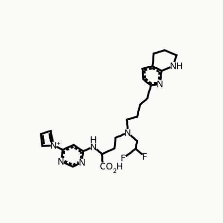 O=C(O)C(CCN(CCCCc1ccc2c(n1)NCCC2)CC(F)F)Nc1cc([N+]2=CC=C2)ncn1